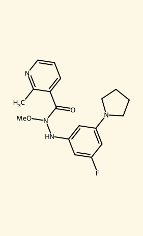 CON(Nc1cc(F)cc(N2CCCC2)c1)C(=O)c1cccnc1C